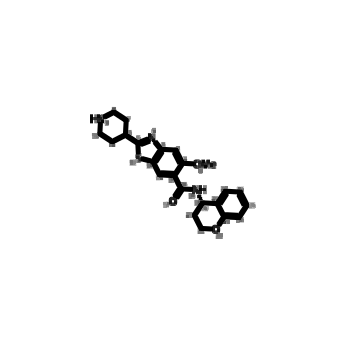 COc1cc2nc(C3CCNCC3)sc2cc1C(=O)N[C@H]1CCOc2ccccc21